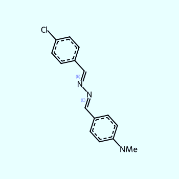 CNc1ccc(/C=N/N=C/c2ccc(Cl)cc2)cc1